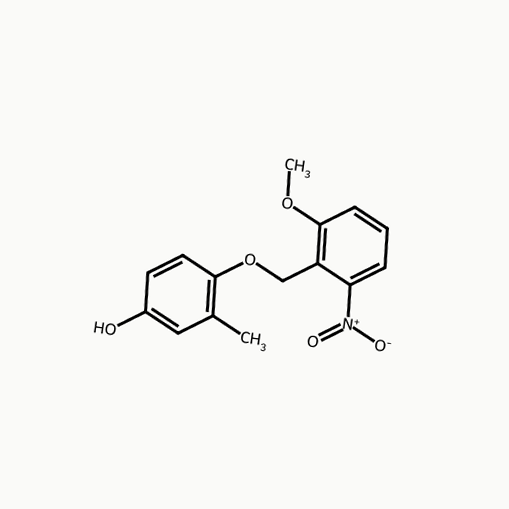 COc1cccc([N+](=O)[O-])c1COc1ccc(O)cc1C